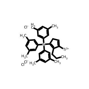 CCCC1=C([Si](c2cc(C)cc(C)c2)(c2cc(C)cc(C)c2)c2cc(C)cc(C)c2)CC=[C]1[Ti+3].[Cl-].[Cl-].[Cl-]